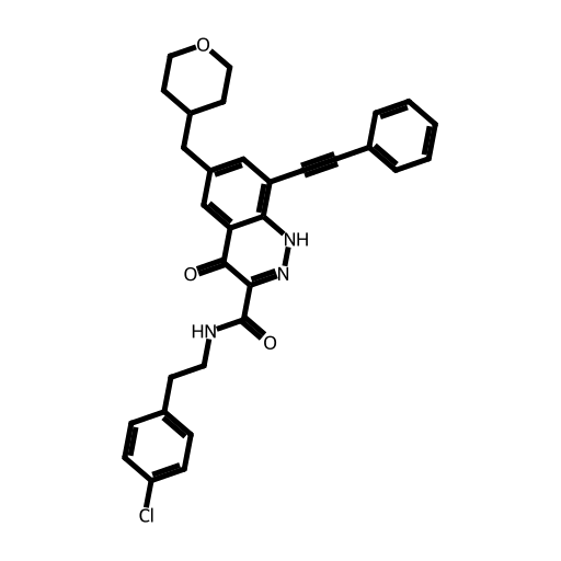 O=C(NCCc1ccc(Cl)cc1)c1n[nH]c2c(C#Cc3ccccc3)cc(CC3CCOCC3)cc2c1=O